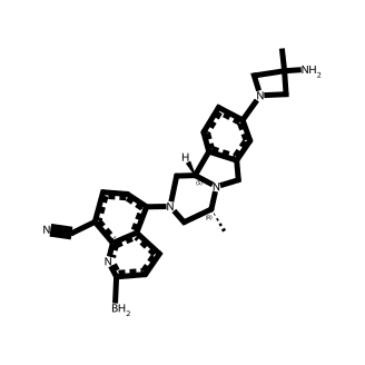 Bc1ccc2c(N3C[C@@H](C)N4Cc5cc(N6CC(C)(N)C6)ccc5[C@H]4C3)ccc(C#N)c2n1